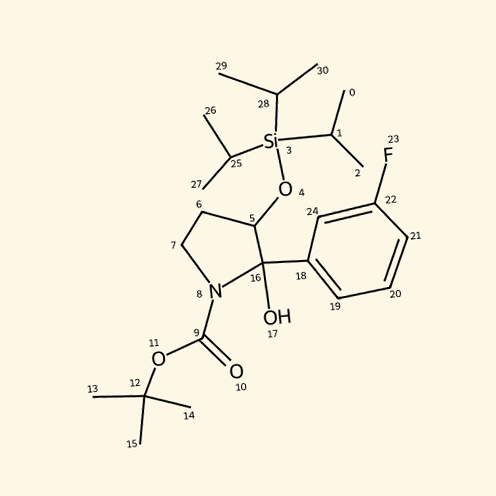 CC(C)[Si](OC1CCN(C(=O)OC(C)(C)C)C1(O)c1cccc(F)c1)(C(C)C)C(C)C